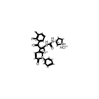 Cc1cccc(C(=O)c2c(NC(=O)N[C@@H]3CCNC3)sc3c2ccc(=O)n3-c2ccccc2)c1F.Cl